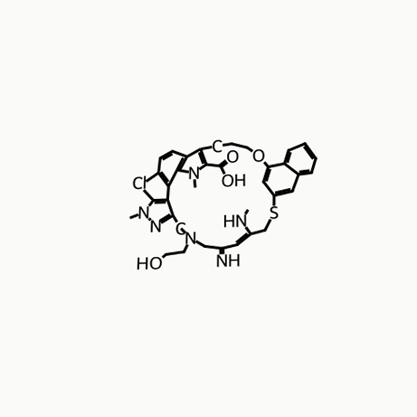 CN/C1=C\C(=N)CN(CCO)Cc2nn(C)c(C)c2-c2c(Cl)ccc3c(c(C(=O)O)n(C)c23)CCCOc2cc(cc3ccccc23)SC1